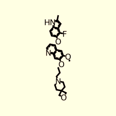 COc1cc2c(Oc3ccc4[nH]c(C)cc4c3F)ccnc2cc1OCCCN1CCC2(CC1)COC2